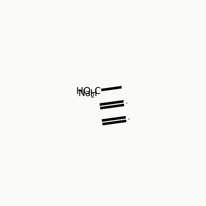 CC(=O)O.[CH]=C.[CH]=C.[NaH]